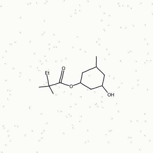 CCC(C)(C)C(=O)OC1CC(C)CC(O)C1